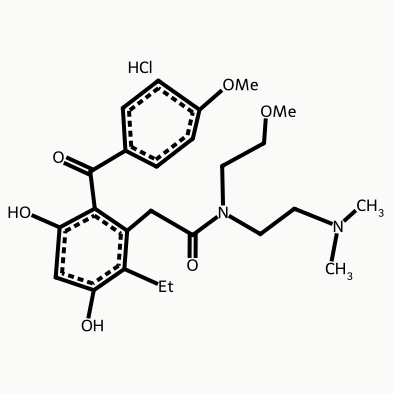 CCc1c(O)cc(O)c(C(=O)c2ccc(OC)cc2)c1CC(=O)N(CCOC)CCN(C)C.Cl